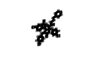 CCc1ccc(SC2(C(=O)NCCCN3CCOCC3)CC(=O)N(Cc3ccc(Br)cc3)C2c2c[nH]c3cc(Cl)ccc23)cc1